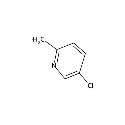 [CH2]c1ccc(Cl)cn1